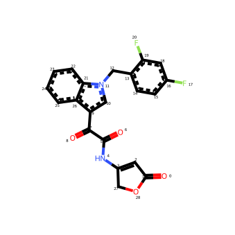 O=C1C=C(NC(=O)C(=O)c2cn(Cc3ccc(F)cc3F)c3ccccc23)CO1